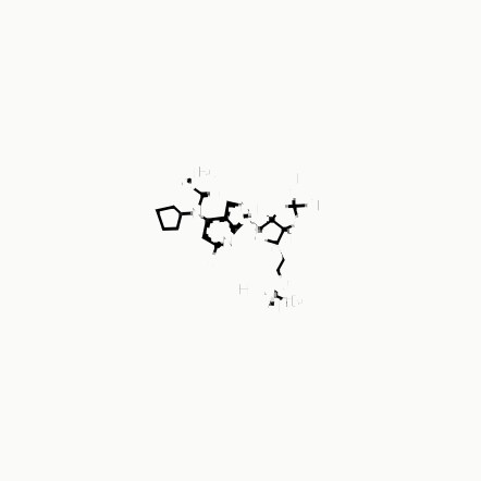 CC(C)(C)OC(=O)N(c1cc(Cl)nc2c1cnn2[C@@H]1O[C@H](CCO[Si](C)(C)C(C)(C)C)[C@H]2OC(C)(C)O[C@H]21)C1CCCC1